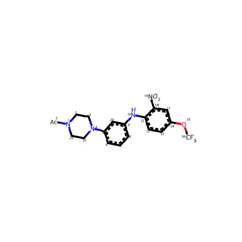 CC(=O)N1CCN(c2cccc(Nc3ccc(OC(F)(F)F)cc3[N+](=O)[O-])c2)CC1